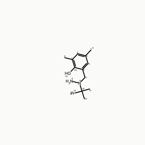 Cc1cc(I)cc(CN(N)C(C)(C)C(C)C)c1O